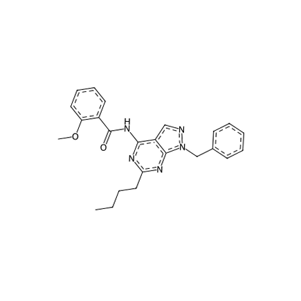 CCCCc1nc(NC(=O)c2ccccc2OC)c2cnn(Cc3ccccc3)c2n1